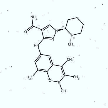 CC1=C(C)c2cc(Nc3nn([C@H]4CCCC[C@@H]4C)cc3C(N)=O)cc(C)c2OB1O